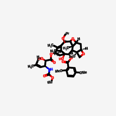 COc1ccc(OC)c(C(=O)O[C@H]2[C@@H]3[C@]4(OC(C)=O)CO[C@@H]4C[C@H]4O[C@@H]([C@H](OC(C)C)C5=C(C)[C@@H](OC(=O)[C@H](O)[C@H](C=C(C)C)NC(=O)OC(C)(C)C)C[C@]2(O)C5(C)C)[C@@]34C)c1